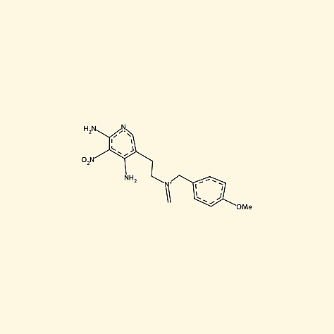 C=[N+](CCc1cnc(N)c([N+](=O)[O-])c1N)Cc1ccc(OC)cc1